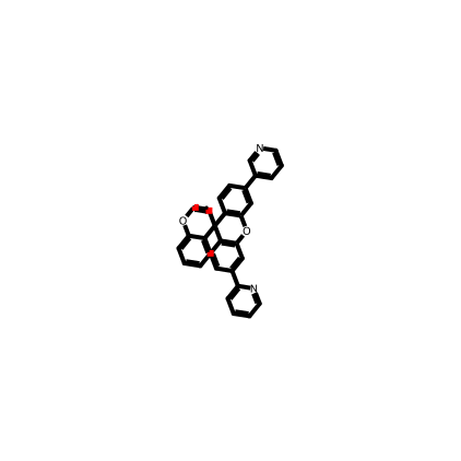 c1ccc(-c2ccc3c(c2)Oc2cc(-c4cccnc4)ccc2C32c3ccccc3Oc3ccccc32)nc1